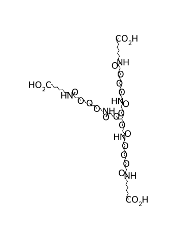 O=C(O)CCCCCCCNC(=O)CCOCCOCCOCCNC(=O)CCOCC(COCCC(=O)NCCOCCOCCOCCC(=O)NCCCCCCCC(=O)O)COCCC(=O)NCCOCCOCCOCCC(=O)NCCCCCCCC(=O)O